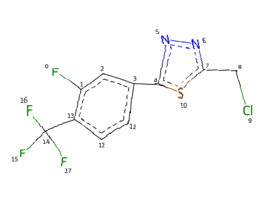 Fc1cc(-c2nnc(CCl)s2)ccc1C(F)(F)F